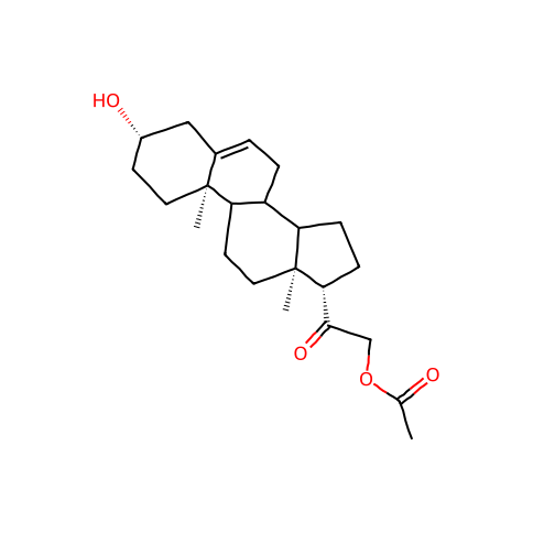 CC(=O)OCC(=O)[C@H]1CCC2C3CC=C4C[C@@H](O)CC[C@]4(C)C3CC[C@@]21C